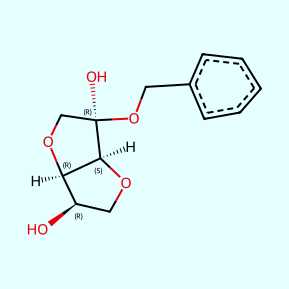 O[C@@H]1CO[C@H]2[C@@H]1OC[C@@]2(O)OCc1ccccc1